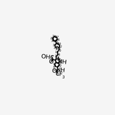 O=CC(=O)C1c2ccc(NC(=O)C(F)(F)F)cc2NCN1CCCCN1CC=C(c2ccccc2)CC1